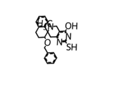 CN1Cc2c(O)nc(S)nc2CC12c1ccccc1CCC2OCc1ccccc1